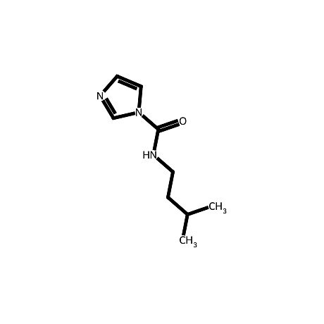 CC(C)CCNC(=O)n1ccnc1